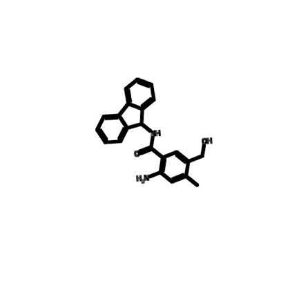 Cc1cc(N)c(C(=O)NC2c3ccccc3-c3ccccc32)cc1CO